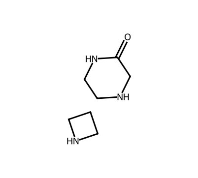 C1CNC1.O=C1CNCCN1